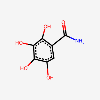 NC(=O)c1cc(O)c(O)c(O)c1O